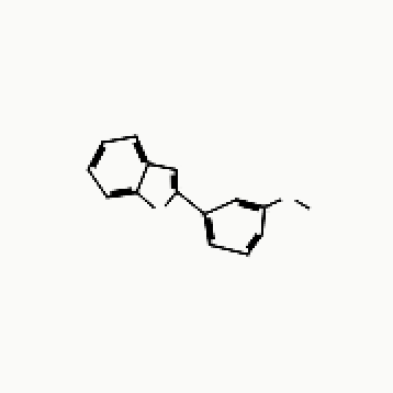 COc1cccc(-c2cc3ccccc3s2)c1